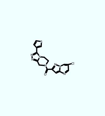 O=C(c1cc2ncc(Cl)cn2n1)N1CCn2c(nnc2-c2ccsc2)C1